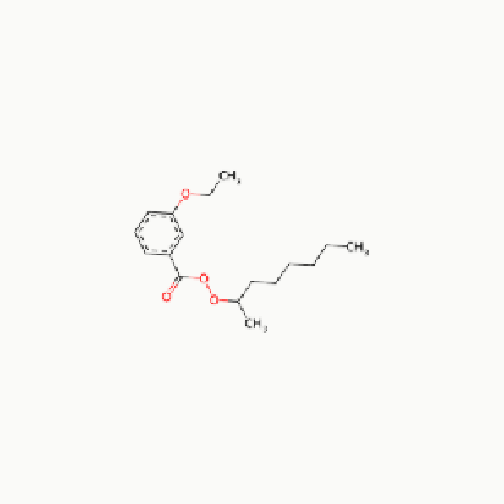 CCCCCC[C](C)OOC(=O)c1cccc(OCC)c1